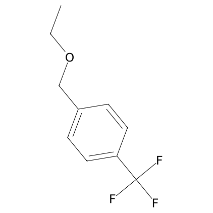 CCOCc1ccc(C(F)(F)F)cc1